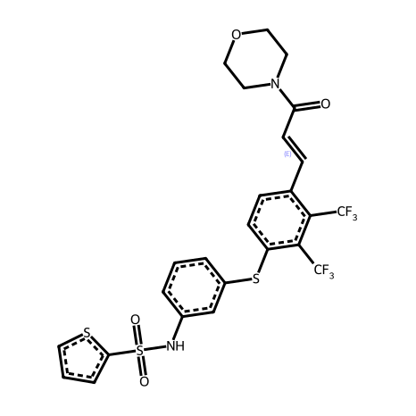 O=C(/C=C/c1ccc(Sc2cccc(NS(=O)(=O)c3cccs3)c2)c(C(F)(F)F)c1C(F)(F)F)N1CCOCC1